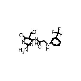 Nc1nc(Cl)c(C=O)c(NC(=O)CNc2cccc(C(F)(F)F)c2)n1